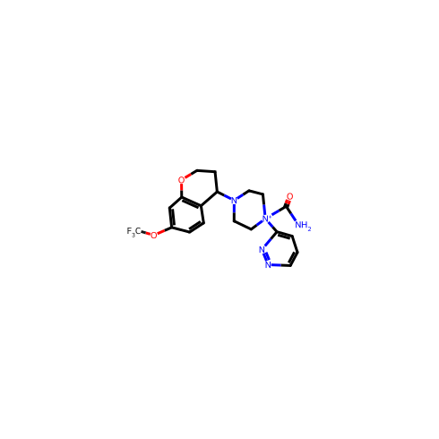 NC(=O)[N+]1(c2cccnn2)CCN(C2CCOc3cc(OC(F)(F)F)ccc32)CC1